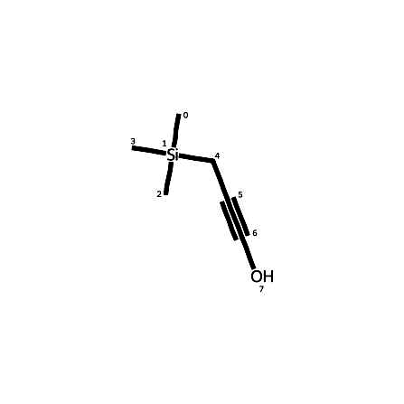 C[Si](C)(C)CC#CO